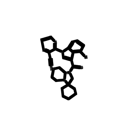 N#Cc1nccnc1-n1cc(C(=O)NCC2(N3CCNCC3)CCCCC2)c2c(Cl)cccc21